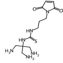 NCC(CN)(CN)NC(=S)NCCCN1C(=O)C=CC1=O